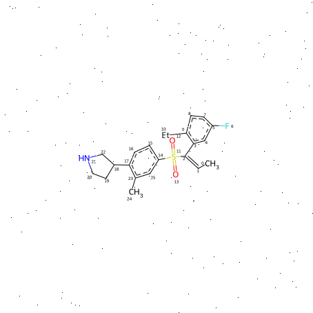 C/C=C(\c1cc(F)ccc1CC)S(=O)(=O)c1ccc(C2CCNC2)c(C)c1